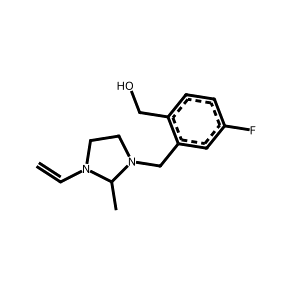 C=CN1CCN(Cc2cc(F)ccc2CO)C1C